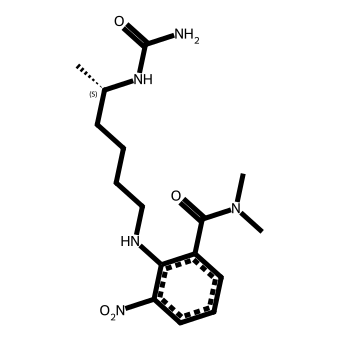 C[C@@H](CCCCNc1c(C(=O)N(C)C)cccc1[N+](=O)[O-])NC(N)=O